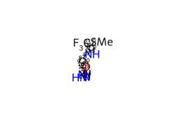 CSc1ccc(NCc2ccc3cc(-c4nn[nH]n4)oc3c2)cc1C(F)(F)F